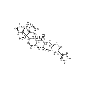 Cn1cncc1C(O)(c1ccc2nc(Cl)c(Cc3ccc(-n4cccn4)cc3)c(Cl)c2c1)c1cncn1C